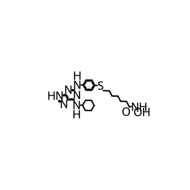 O=C(CCCCCCSc1ccc(Nc2nc(NC3CCCCC3)c3nc[nH]c3n2)cc1)NO